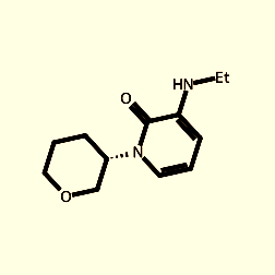 CCNc1cccn([C@H]2CCCOC2)c1=O